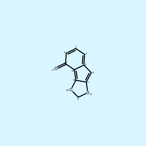 O=C1C=CC=C2C=C3OCOC3=C12